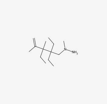 C=C(C)C(C)(CC)C(CC)(CC)CN(C)N